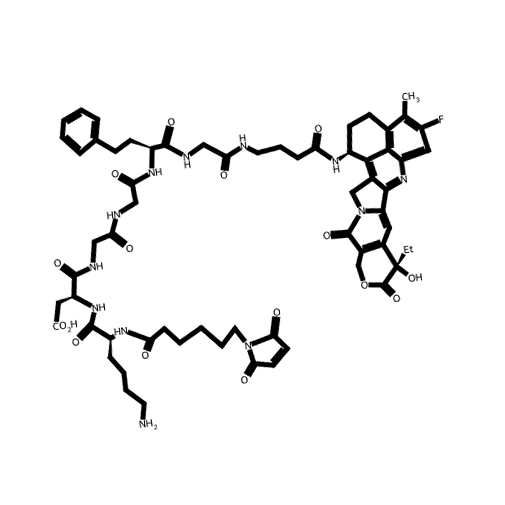 CC[C@@]1(O)C(=O)OCc2c1cc1n(c2=O)Cc2c-1nc1cc(F)c(C)c3c1c2[C@@H](NC(=O)CCCNC(=O)CNC(=O)[C@H](CCc1ccccc1)NC(=O)CNC(=O)CNC(=O)[C@H](CC(=O)O)NC(=O)[C@H](CCCCN)NC(=O)CCCCCN1C(=O)C=CC1=O)CC3